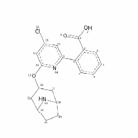 O=C(O)c1ccccc1-c1cc(Cl)cc(OC2CC3CCC(C2)N3)n1